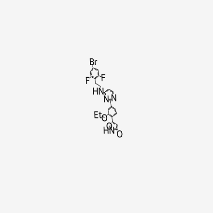 CCOc1cc(-c2nccc(NCCc3c(F)cc(Br)cc3F)n2)ccc1-c1cc(=O)[nH]o1